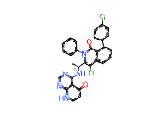 C[C@H](Nc1ncnc2[nH]ccc(=O)c12)c1c(Cl)c2cccc(-c3ccc(Cl)cc3)c2c(=O)n1-c1ccccc1